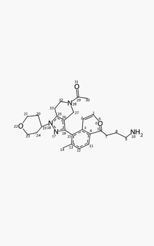 C/C=C\c1c(C(=O)CCCN)ccc(C)c1-c1nn(C2CCOCC2)c2c1CN(C(C)=O)CC2